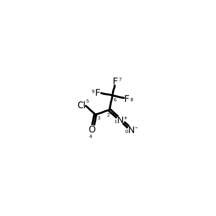 [N-]=[N+]=C(C(=O)Cl)C(F)(F)F